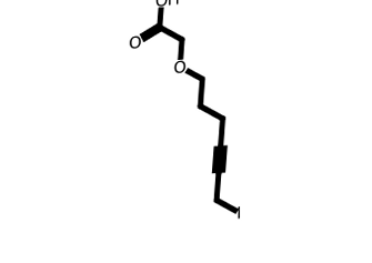 O=C(O)COCCCC#CCI